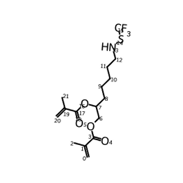 C=C(C)C(=O)OCC(CCCCCNSC(F)(F)F)OC(=O)C(=C)C